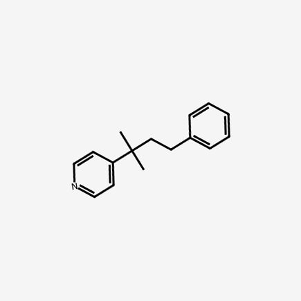 CC(C)(CCc1ccccc1)c1ccncc1